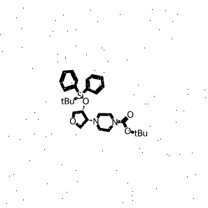 CC(C)(C)OC(=O)N1CCN([C@@H]2COC[C@@H]2O[Si](c2ccccc2)(c2ccccc2)C(C)(C)C)CC1